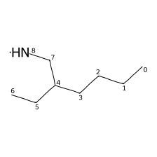 CCCCC(CC)C[NH]